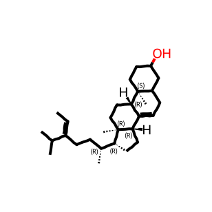 CC=C(CC[C@@H](C)[C@H]1CC[C@H]2C3=CCC4CC(O)CC[C@]4(C)[C@H]3CC[C@]12C)C(C)C